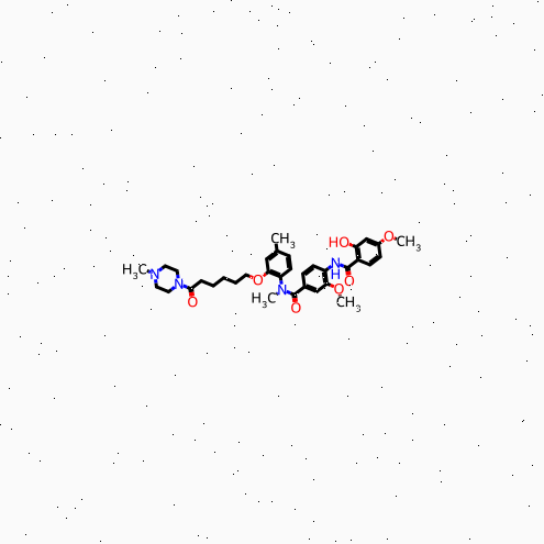 COc1ccc(C(=O)Nc2ccc(C(=O)N(C)c3ccc(C)cc3OCCCCCC(=O)N3CCN(C)CC3)cc2OC)c(O)c1